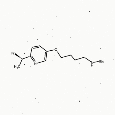 CC(C)[C@H](C)c1ccc(OCCCCNC(C)(C)C)cn1